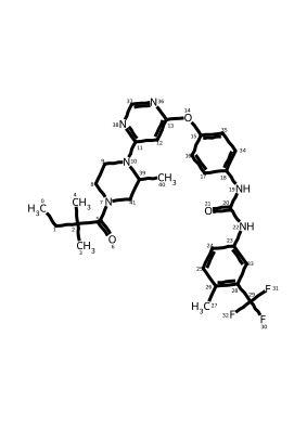 CCC(C)(C)C(=O)N1CCN(c2cc(Oc3ccc(NC(=O)Nc4ccc(C)c(C(F)(F)F)c4)cc3)ncn2)C(C)C1